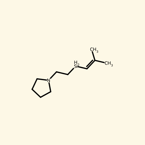 CC(C)=C[SiH2]CCN1CCCC1